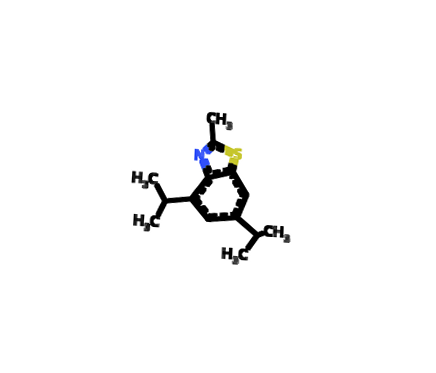 Cc1nc2c(C(C)C)cc(C(C)C)cc2s1